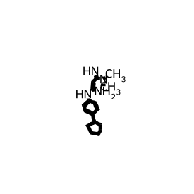 CN(C)C(=N)/C=C(\N)Nc1ccc(C2CCCCC2)cc1